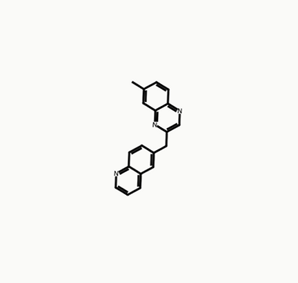 Cc1ccc2ncc(Cc3ccc4ncccc4c3)nc2c1